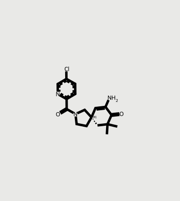 CC1(C)C[C@]2(C=C(N)C1=O)CCN(C(=O)c1ccc(Cl)cn1)C2